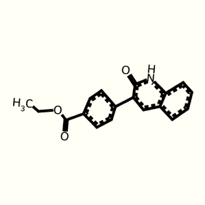 CCOC(=O)c1ccc(-c2cc3ccccc3[nH]c2=O)cc1